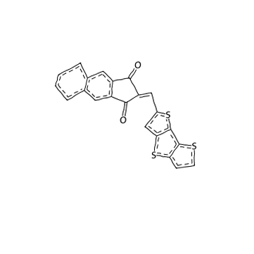 O=C1C(=Cc2cc3sc4ccsc4c3s2)C(=O)c2cc3ccccc3cc21